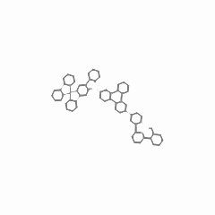 O=c1c2ccccc2c2cccc3c4cc(-c5ccc6c7ccc(-n8c9ccccc9c9cc%10c(cc98)-c8ccccc8C%108c9ccccc9-c9ccccc98)cc7c7ccccc7c6c5)ccc4n1c23